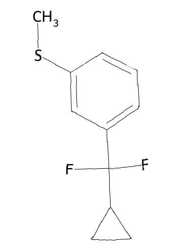 CSc1cccc(C(F)(F)C2CC2)c1